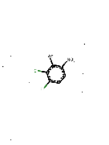 CC(=O)c1c([N+](=O)[O-])ccc(Cl)c1Cl